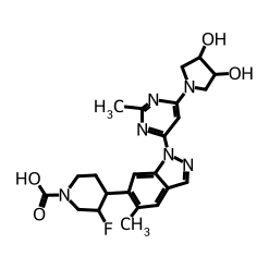 Cc1nc(N2CC(O)C(O)C2)cc(-n2ncc3cc(C)c(C4CCN(C(=O)O)CC4F)cc32)n1